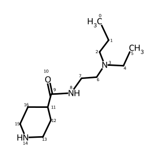 CCCN(CC)CCNC(=O)C1CCNCC1